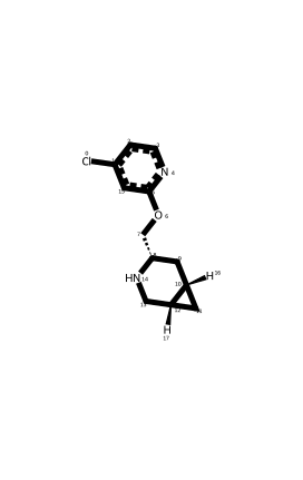 Clc1ccnc(OC[C@@H]2C[C@@H]3C[C@@H]3CN2)c1